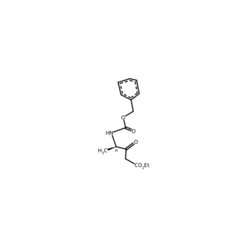 CCOC(=O)CC(=O)[C@@H](C)NC(=O)OCc1ccccc1